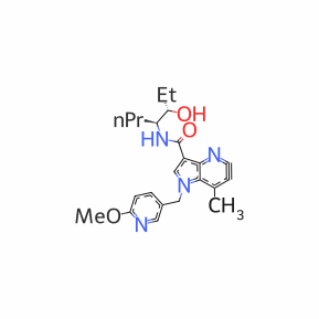 CCC[C@H](NC(=O)c1cn(Cc2ccc(OC)nc2)c2c(C)c#cnc12)[C@@H](O)CC